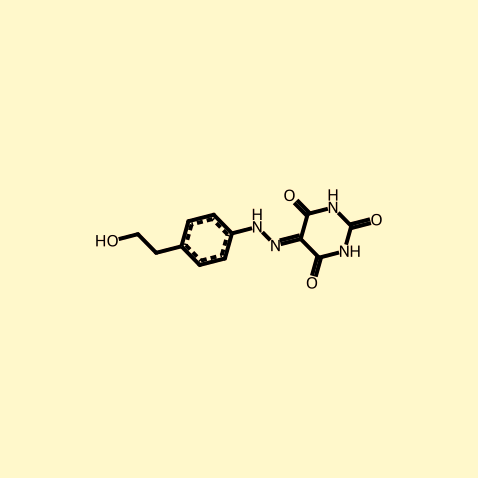 O=C1NC(=O)C(=NNc2ccc(CCO)cc2)C(=O)N1